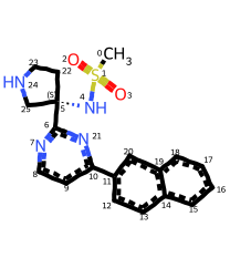 CS(=O)(=O)N[C@@]1(c2nccc(-c3ccc4ccccc4c3)n2)CCNC1